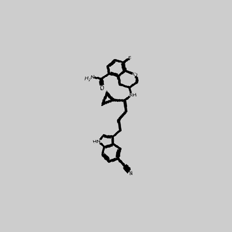 N#Cc1ccc2[nH]cc(CCCC(NC3COc4c(F)ccc(C(N)=O)c4C3)C3CC3)c2c1